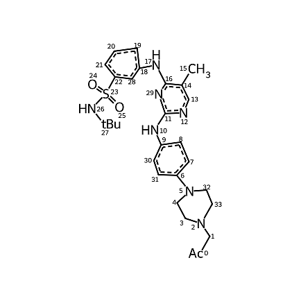 CC(=O)CN1CCN(c2ccc(Nc3ncc(C)c(Nc4cccc(S(=O)(=O)NC(C)(C)C)c4)n3)cc2)CC1